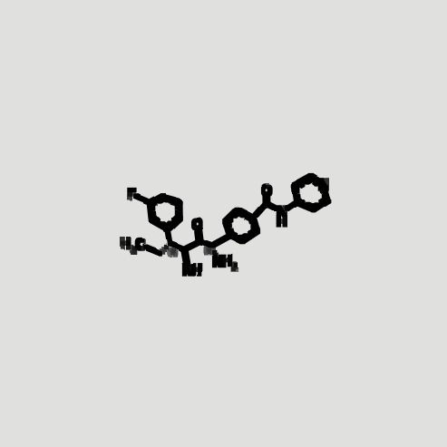 CC[C@@H](C(=N)C(=O)[C@@H](N)c1ccc(C(=O)Nc2ccncc2)cc1)c1cccc(F)c1